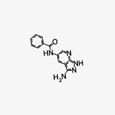 Nc1n[nH]c2ncc(NC(=O)c3ccccc3)cc12